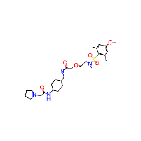 COc1cc(C)c(S(=O)(=O)N(C)CCOCC(=O)N(C)CC2CCC(NC(=O)CN3CCCC3)CC2)c(C)c1